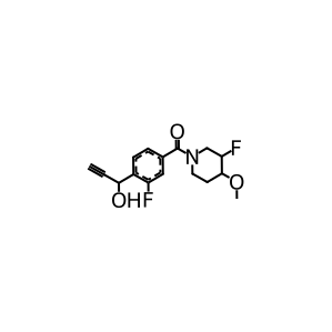 C#CC(O)c1ccc(C(=O)N2CCC(OC)C(F)C2)cc1F